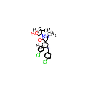 C=CC[C@@](C)(C/C(=C/c1ccc(Cl)cc1)c1cccc(Cl)c1)C(=O)NC(CO)C(C)C